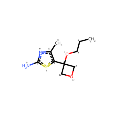 CCCOC1(c2sc(N)nc2C)COC1